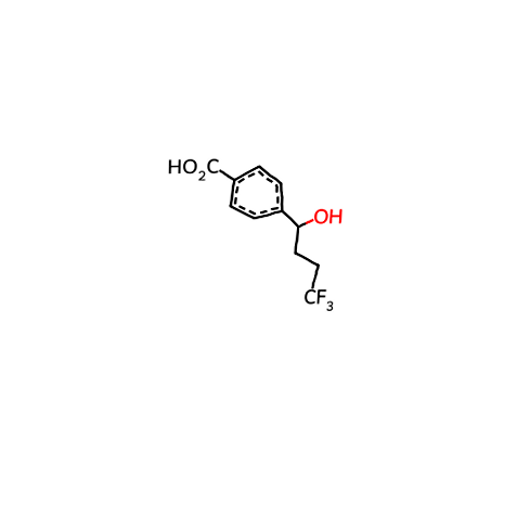 O=C(O)c1ccc(C(O)CCC(F)(F)F)cc1